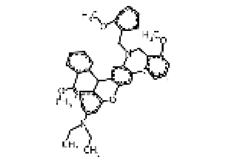 CCN(CC)c1ccc2c(c1)Oc1cc(OC)c(N(Cc3ccccc3OC)Cc3ccccc3OC)cc1C2c1ccccc1C(=O)OC